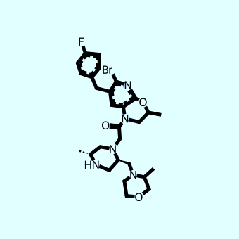 CC1CN(C(=O)CN2C[C@@H](C)NC[C@@H]2CN2CCOCC2C)c2cc(Cc3ccc(F)cc3)c(Br)nc2O1